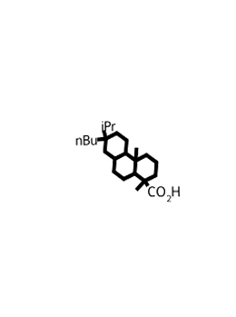 CCCCC1(C(C)C)CCC2C(CCC3C(C)(C(=O)O)CCCC23C)C1